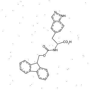 O=C(NC(Cc1ccc2[nH]ncc2c1)C(=O)O)OCC1c2ccccc2-c2ccccc21